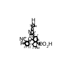 C[C@H]1CCc2c(ccc(-c3cnn(C4CNC4)c3)c2Oc2cccc(F)c2C#N)N1C(=O)O